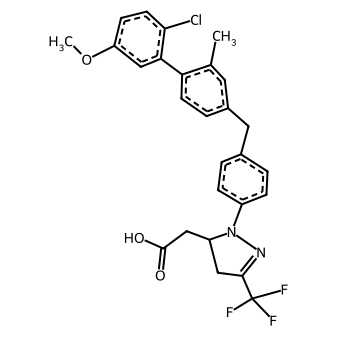 COc1ccc(Cl)c(-c2ccc(Cc3ccc(N4N=C(C(F)(F)F)CC4CC(=O)O)cc3)cc2C)c1